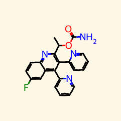 CC(OC(N)=O)c1nc2ccc(F)cc2c(-c2ccccn2)c1-c1ccccn1